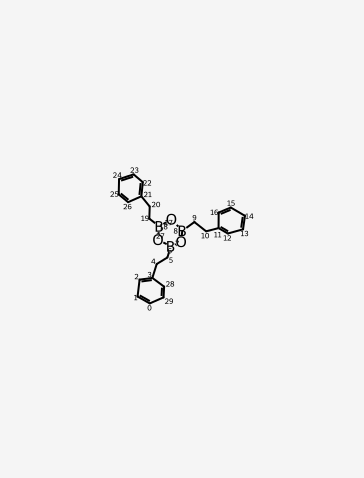 c1ccc(CCB2OB(CCc3ccccc3)OB(CCc3ccccc3)O2)cc1